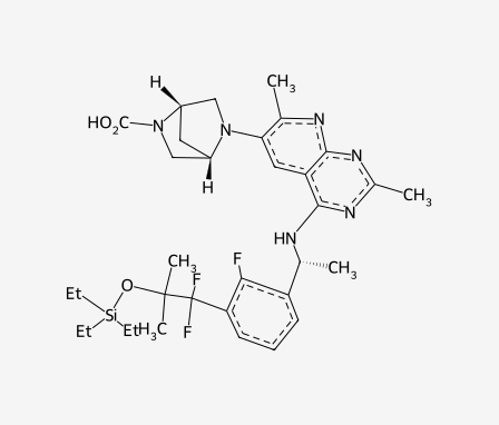 CC[Si](CC)(CC)OC(C)(C)C(F)(F)c1cccc([C@@H](C)Nc2nc(C)nc3nc(C)c(N4C[C@@H]5C[C@H]4CN5C(=O)O)cc23)c1F